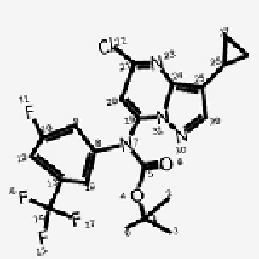 CC(C)(C)OC(=O)N(c1cc(F)cc(C(F)(F)F)c1)c1cc(Cl)nc2c(C3CC3)cnn12